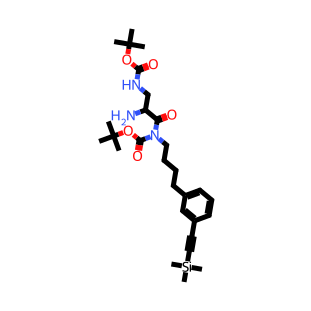 CC(C)(C)OC(=O)NCC(N)C(=O)N(CCCCc1cccc(C#C[Si](C)(C)C)c1)C(=O)OC(C)(C)C